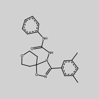 Cc1cc(C)cc(C2=NOC3(CCOCC3)N2NC(=O)Nc2ccccc2)c1